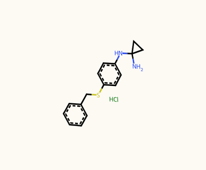 Cl.NC1(Nc2ccc(SCc3ccccc3)cc2)CC1